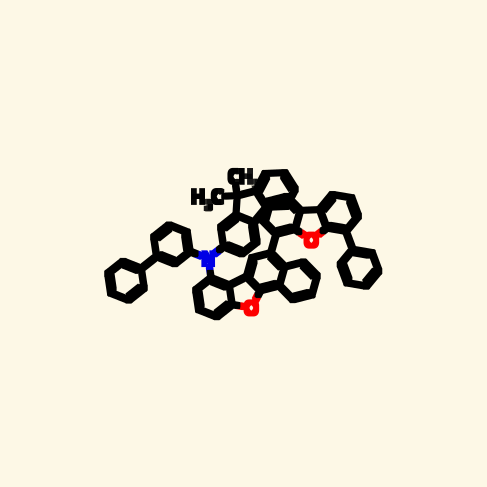 CC1(C)c2ccccc2-c2ccc(N(c3cccc(-c4ccccc4)c3)c3cccc4oc5c6ccccc6c(-c6cccc7c6oc6c(-c8ccccc8)cccc67)cc5c34)cc21